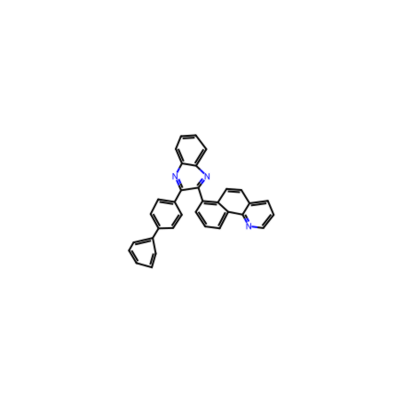 c1ccc(-c2ccc(-c3nc4ccccc4nc3-c3cccc4c3ccc3cccnc34)cc2)cc1